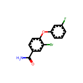 NC(=O)c1ccc(Oc2cccc(F)c2)c(Br)c1